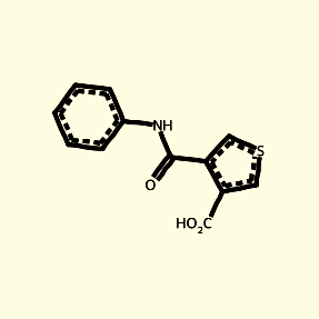 O=C(O)c1cscc1C(=O)Nc1ccccc1